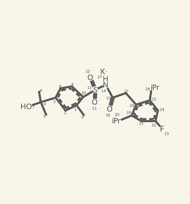 Cc1cc(C(C)(C)O)ccc1S(=O)(=O)NC(=O)Cc1c(C(C)C)cc(F)cc1C(C)C.[K]